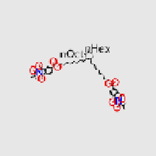 C=C(C)C(=O)N1OCc2cc(C(=O)OCCCCCCCCC3CCC(CCCCCC)C(CCCCCCCC)C3CCCCCCCCOC(=O)c3ccc4c(c3)C(=O)N(C(=O)C(=C)C)C4=O)ccc2C1=O